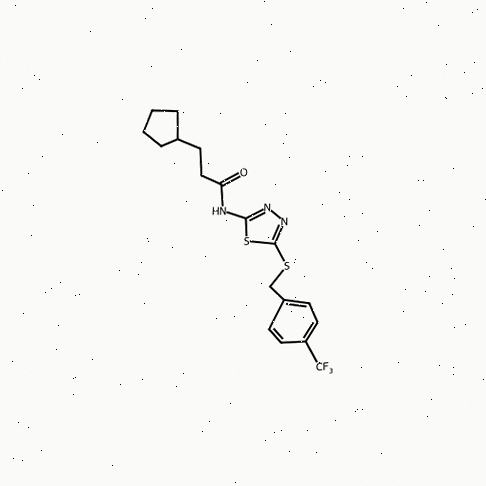 O=C(CCC1CCCC1)Nc1nnc(SCc2ccc(C(F)(F)F)cc2)s1